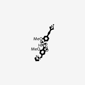 COc1cc(C#CC2CN(C)C2)ccc1S(=O)(=O)Nc1noc2cc(Cn3cccn3)cc(OC)c12